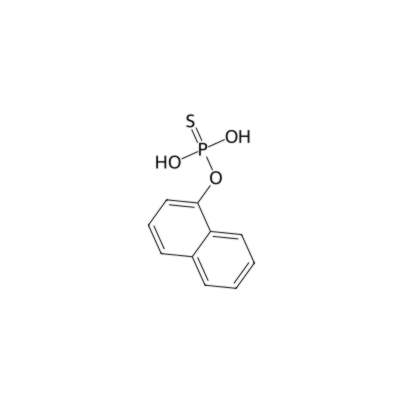 OP(O)(=S)Oc1cccc2ccccc12